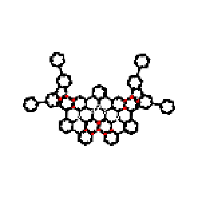 c1ccc(-c2ccc3c(c2)c2cc(-c4ccccc4)ccc2n3-c2cc3c4c(c2)N(c2c(-c5ccccc5)cccc2-c2ccccc2)c2ccccc2B4N2B4c5ccccc5N(c5c(-c6ccccc6)cccc5-c5ccccc5)c5cc(-n6c7ccc(-c8ccccc8)cc7c7cc(-c8ccccc8)ccc76)cc(c54)-c4cccc-3c42)cc1